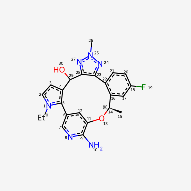 CCn1ccc2c1-c1cnc(N)c(c1)O[C@H](C)c1cc(F)ccc1-c1nn(C)nc1C2O